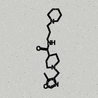 Cc1ocnc1CN1CCC(C(=O)NCCCN2CCCCC2)CC1